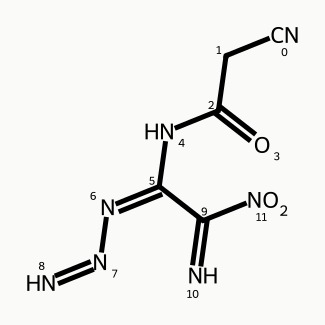 N#CCC(=O)N/C(=N/N=N)C(=N)[N+](=O)[O-]